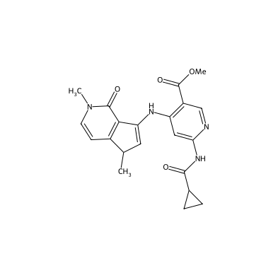 COC(=O)c1cnc(NC(=O)C2CC2)cc1NC1=CC(C)c2ccn(C)c(=O)c21